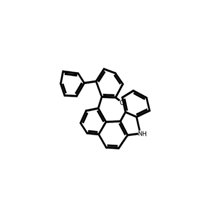 Clc1cccc(-c2ccccc2)c1-c1cccc2ccc3[nH]c4ccccc4c3c12